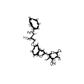 Cc1c(-c2cc3cc(OCC(O)CNc4ccccc4)ccc3o2)oc(=O)c(C)c1O